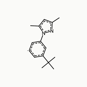 Cc1cc(C)n(-c2c[c]cc(C(C)(C)C)c2)n1